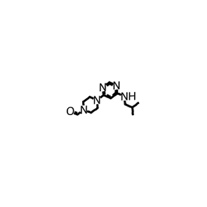 CC(C)CNc1cc(N2CCN(C=O)CC2)ncn1